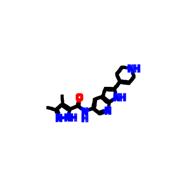 Cc1n[nH]c(C(=O)Nc2cnc3[nH]c(C4=CCNCC4)cc3c2)c1C